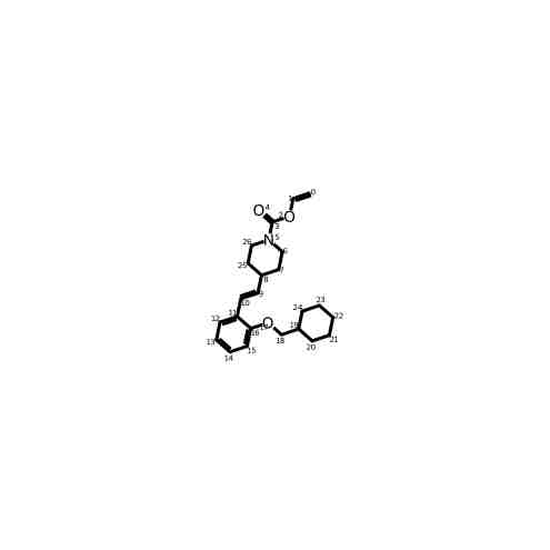 C=COC(=O)N1CCC(C=Cc2ccccc2OCC2CCCCC2)CC1